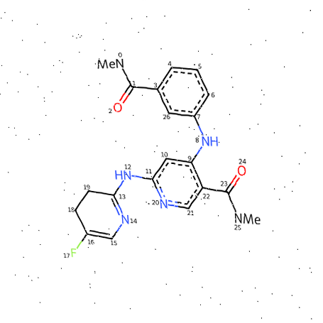 CNC(=O)c1cccc(Nc2cc(NC3=NC=C(F)CC3)ncc2C(=O)NC)c1